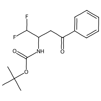 CC(C)(C)OC(=O)NC(CC(=O)c1ccccc1)C(F)F